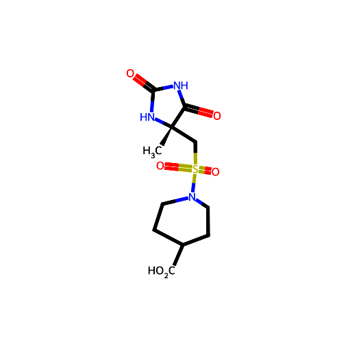 C[C@@]1(CS(=O)(=O)N2CCC(C(=O)O)CC2)NC(=O)NC1=O